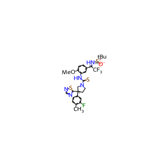 COc1ccc([C@@H](N[S@@+]([O-])C(C)(C)C)C(F)(F)F)cc1NC(=S)N1CC[C@](c2ccc(C)c(F)c2)(c2ncns2)C1